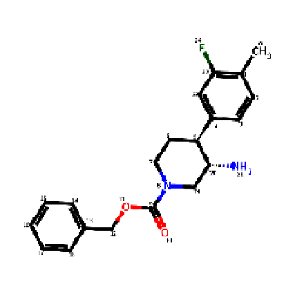 Cc1ccc([C@@H]2CCN(C(=O)OCc3ccccc3)C[C@H]2N)cc1F